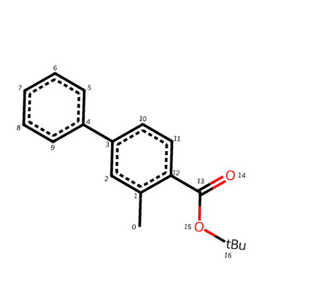 Cc1cc(-c2ccccc2)ccc1C(=O)OC(C)(C)C